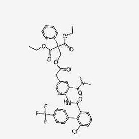 CCOC(=O)C(COC(=O)Cc1ccc(NC(=O)c2cccc(Cl)c2-c2ccc(C(F)(F)F)cc2)c(C(=O)N(C)C)c1)(C(=O)OCC)c1ccccc1